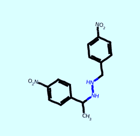 CC(NNCc1ccc([N+](=O)[O-])cc1)c1ccc([N+](=O)[O-])cc1